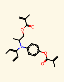 C=C/C(=C\C)N(c1ccc(OC(=O)C(=C)C)cc1)C(C)COC(=O)C(=C)C